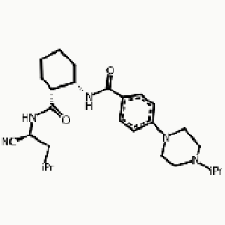 CC(C)C[C@@H](C#N)NC(=O)[C@@H]1CCCC[C@@H]1NC(=O)c1ccc(N2CCN(C(C)C)CC2)cc1